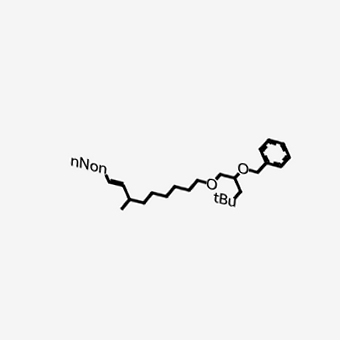 CCCCCCCCC/C=C/C(C)CCCCCCOCC(CC(C)(C)C)OCc1ccccc1